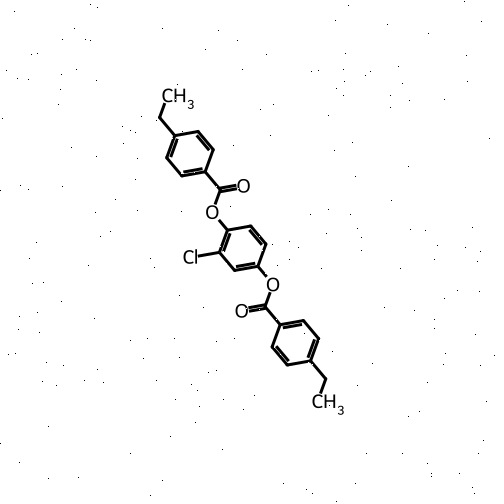 CCc1ccc(C(=O)Oc2ccc(OC(=O)c3ccc(CC)cc3)c(Cl)c2)cc1